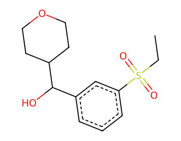 CCS(=O)(=O)c1cccc(C(O)C2CCOCC2)c1